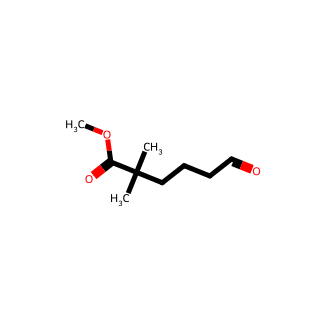 COC(=O)C(C)(C)CCCC=O